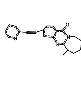 CC1CCCCn2c1nc1cc(C#Cc3ccccn3)ccc1c2=O